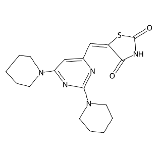 O=C1NC(=O)/C(=C\c2cc(N3CCCCC3)nc(N3CCCCC3)n2)S1